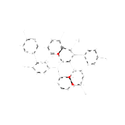 Cc1ccc(-c2c(N)ccc(C(c3ccccc3)c3ccc(N)c(-c4ccc(C)cc4)c3-c3ccc(C)cc3)c2-c2ccc(C)cc2)cc1